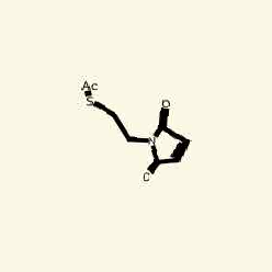 CC(=O)SCCN1C(=O)C=CC1=O